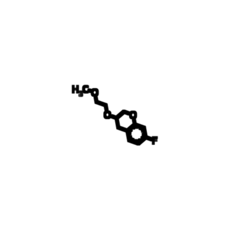 COCCOC1COc2cc(F)ccc2C1